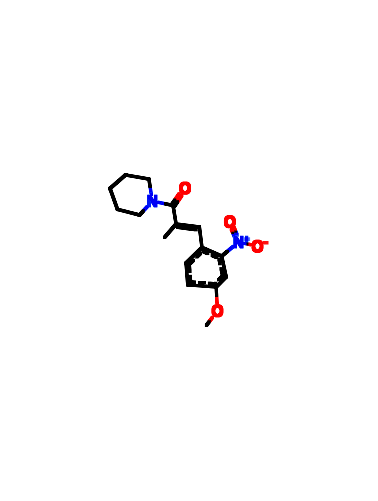 COc1ccc(/C=C(\C)C(=O)N2CCCCC2)c([N+](=O)[O-])c1